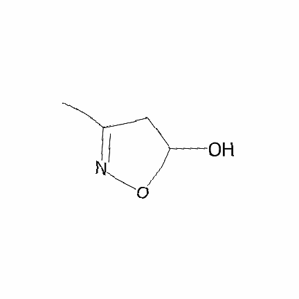 CC1=NOC(O)C1